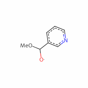 COC([O])c1cccnc1